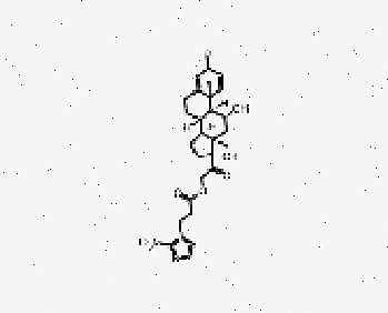 C[C@]12C=CC(=O)C=C1CC[C@@H]1[C@@H]2[C@@H](O)C[C@@]2(C)[C@H]1CC[C@]2(O)C(=O)COC(=O)CCn1ccnc1[N+](=O)[O-]